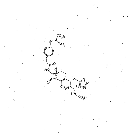 NC(Nc1ccc(CC(=O)NC2C(=O)N3C(C(=O)O)=C(C(CCNS(=O)(=O)O)Sc4nnn[nH]4)CS[C@@H]23)cc1)C(=O)O